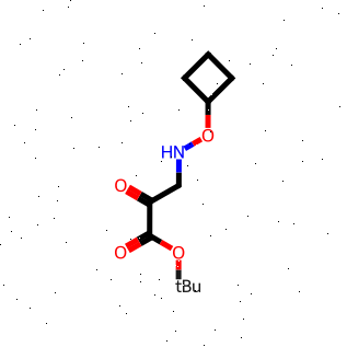 CC(C)(C)OC(=O)C(=O)CNOC1CCC1